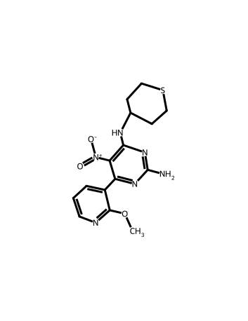 COc1ncccc1-c1nc(N)nc(NC2CCSCC2)c1[N+](=O)[O-]